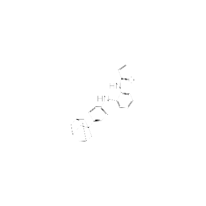 C=CC(=O)Nc1ccccc1Nc1ccc(C23CC4CC(CC(C4)C2)C3)cc1